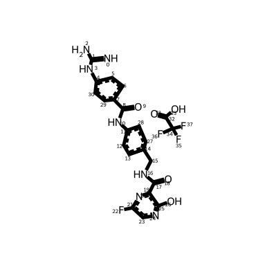 N=C(N)Nc1ccc(C(=O)Nc2ccc(CNC(=O)c3nc(F)cnc3O)cc2)cc1.O=C(O)C(F)(F)F